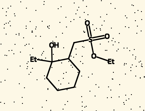 CCOS(=O)(=O)CC1CCCCC1(O)CC